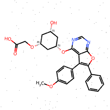 COc1ccc(-c2c(-c3ccccc3)oc3ncnc(O[C@H]4C[C@@H](O)C[C@@H](OCC(=O)O)C4)c23)cc1